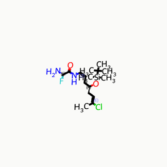 C/C(Cl)=C\C[C@@H](C/C=C\NC(=O)[C@@H](N)F)O[Si](C)(C)C(C)(C)C